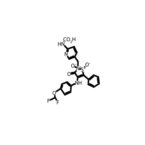 O=C(O)Nc1ccc(C[N+]2([O-])C(=O)C(Nc3ccc(OC(F)F)cc3)=C(c3ccccc3)[S+]2[O-])cn1